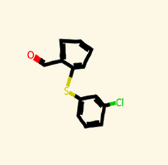 O=Cc1ccccc1Sc1cccc(Cl)c1